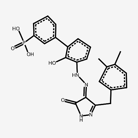 Cc1ccc(CC2=NNC(=O)C2=NNc2cccc(-c3cccc(P(=O)(O)O)c3)c2O)cc1C